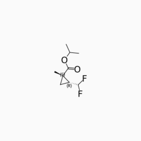 CC(C)OC(=O)[C@@]1(C)C[C@H]1C(F)F